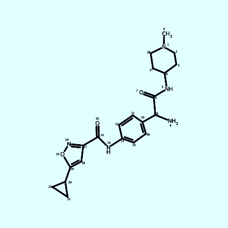 CN1CCC(NC(=O)C(N)c2ccc(NC(=O)c3cc(C4CC4)on3)cc2)CC1